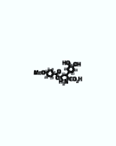 COc1ccc(C(=O)OC(C)CC(c2ccc(O)c(O)c2)[C@@H](N)C(=O)O)cc1